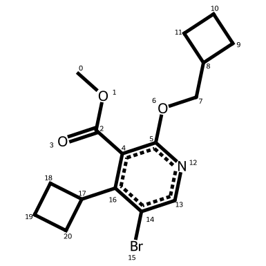 COC(=O)c1c(OCC2CCC2)ncc(Br)c1C1CCC1